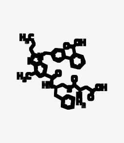 CCCc1nc2c(C)cc(C(=O)N[C@@H](CSC(=O)[C@@H](N)CC(=O)O)Cc3ccccc3)cc2n1Cc1ccc(-c2ccccc2C(=O)O)cc1